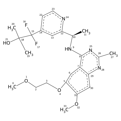 COCCOc1cc2c(N[C@H](C)c3cc(C(F)(F)C(C)(C)O)ccn3)nc(C)nc2cc1OC